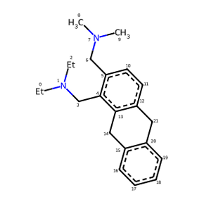 CCN(CC)Cc1c(CN(C)C)ccc2c1Cc1ccccc1C2